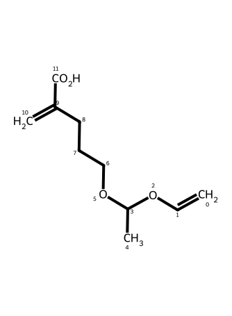 C=COC(C)OCCCC(=C)C(=O)O